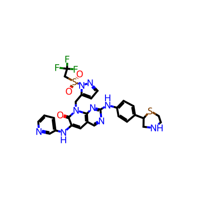 O=c1c(Nc2cccnc2)cc2cnc(Nc3ccc(C4CNCCS4)cc3)nc2n1Cc1ccnn1S(=O)(=O)CC(F)(F)F